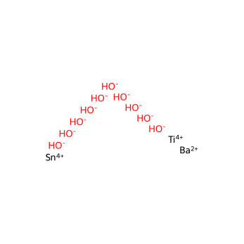 [Ba+2].[OH-].[OH-].[OH-].[OH-].[OH-].[OH-].[OH-].[OH-].[OH-].[OH-].[Sn+4].[Ti+4]